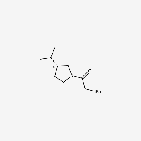 CN(C)[C@H]1CCN(C(=O)CC(C)(C)C)C1